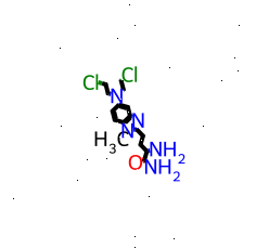 Cn1c(CCC(N)C(N)=O)nc2cc(N(CCCl)CCCl)ccc21